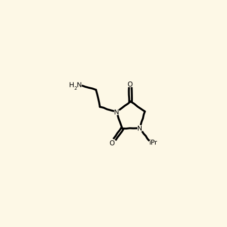 CC(C)N1CC(=O)N(CCN)C1=O